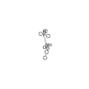 O=C(NCCCCC[PH](c1ccccc1)(c1ccccc1)c1ccccc1)Oc1ccc(-c2ccccc2)cc1